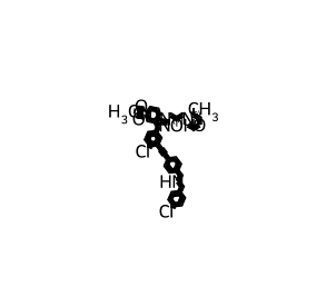 C[C@H]1COCCN1C[C@H](O)Cn1nc(-c2ccc(Cl)c(C#CC3C=CC(CNCC4=CCC(Cl)C=C4)=CC3)c2)c2c1CCN(S(C)(=O)=O)C2